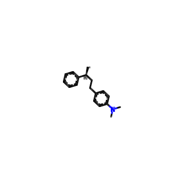 [CH2][C@@H](CCc1ccc(N(C)C)cc1)c1ccccc1